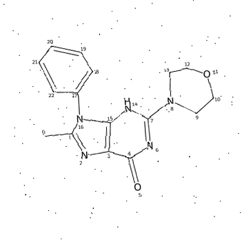 Cc1nc2c(=O)nc(N3CCOCC3)[nH]c2n1-c1ccccc1